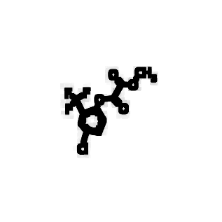 COC(=O)C(=O)Oc1ccc(Cl)cc1C(F)(F)F